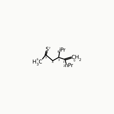 C=C(CCC)C(CC(C)=S)C(C)C